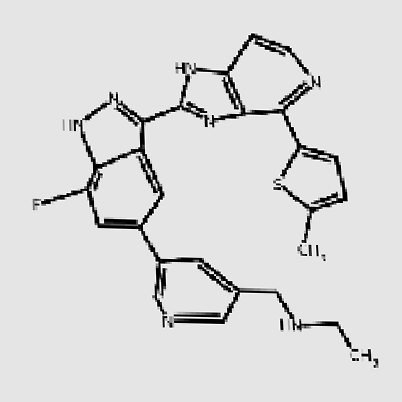 CCNCc1cncc(-c2cc(F)c3[nH]nc(-c4nc5c(-c6ccc(C)s6)nccc5[nH]4)c3c2)c1